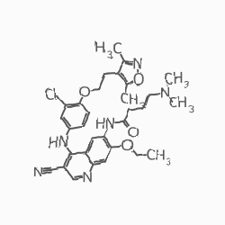 CCOc1cc2ncc(C#N)c(Nc3ccc(OCCc4c(C)noc4C)c(Cl)c3)c2cc1NC(=O)CCCN(C)C